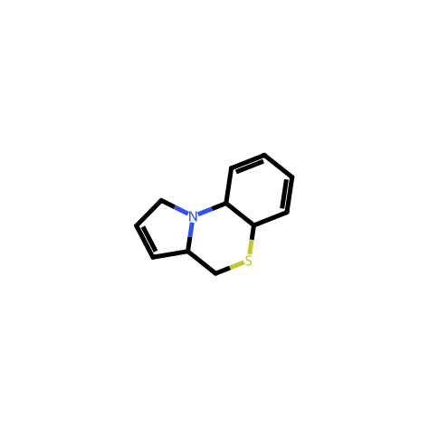 C1=CC2SCC3C=CCN3C2C=C1